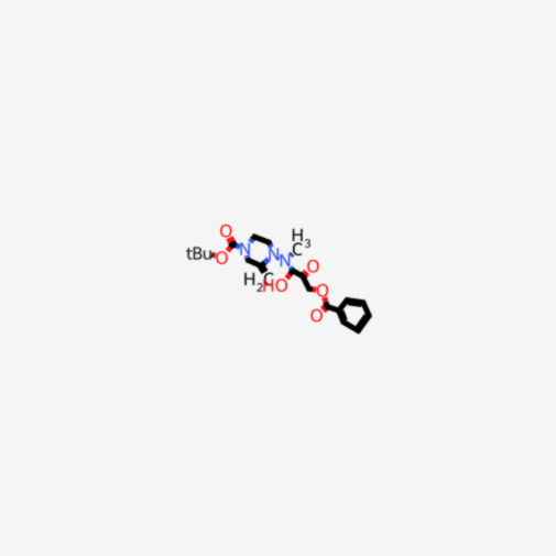 C=C1CN(C(=O)OC(C)(C)C)CCN1N(C)C(O)C(=O)COC(=O)c1ccccc1